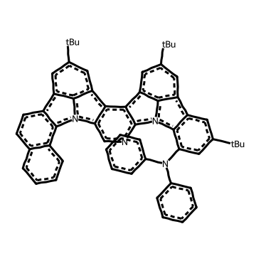 CC(C)(C)c1cc(N(c2ccccc2)c2ccccc2)c2c(c1)c1cc(C(C)(C)C)cc3c4c5c6cc(C(C)(C)C)cc7c8ccc9ccccc9c8n(c5cnc4n2c13)c76